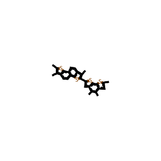 Cc1cc2c(C)c(C)c3cc(-c4sc5c(ccc6c5ccc5c(C)c(C)sc56)c4C)sc3c2s1